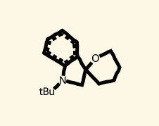 CC(C)(C)N1CC2(CCCCO2)c2ccccc21